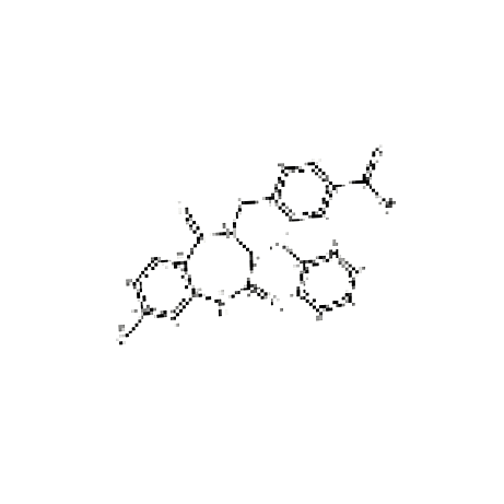 O=C(O)c1ccc(CN2C(=O)c3ccc(Cl)cc3NC(=O)[C@H]2Cc2ccccn2)cc1